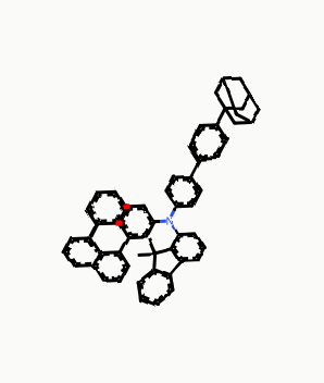 CC1(C)c2ccccc2-c2cccc(N(c3ccc(-c4ccc(C56CC7CC(CC(C7)C5)C6)cc4)cc3)c3cccc(-c4cccc5cccc(-c6ccccc6)c45)c3)c21